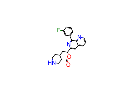 O=COC(CC1CCNCC1)c1cc2cccnc2c(-c2cccc(F)c2)n1